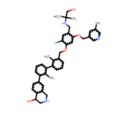 Cc1c(COc2cc(OCc3cncc(C#N)c3)c(CNC(C)(CO)C(=O)O)cc2Cl)cccc1-c1cccc(-c2ccc3c(c2)CNCC3O)c1C